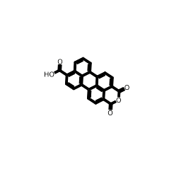 O=C(O)c1ccc2c3ccc4c5c(ccc(c6cccc1c62)c53)C(=O)OC4=O